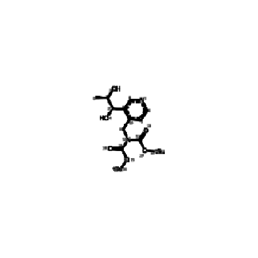 C[C@@H](O)[C@H](O)c1cnccc1CN(C(=O)OC(C)(C)C)C(=O)OC(C)(C)C